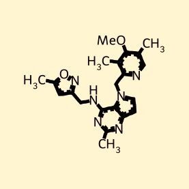 COc1c(C)cnc(Cn2ccc3nc(C)nc(NCc4cc(C)on4)c32)c1C